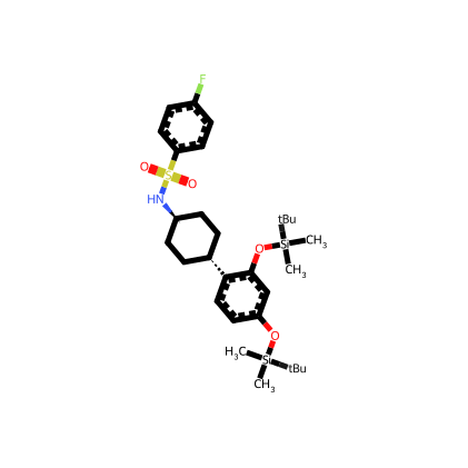 CC(C)(C)[Si](C)(C)Oc1ccc([C@H]2CC[C@H](NS(=O)(=O)c3ccc(F)cc3)CC2)c(O[Si](C)(C)C(C)(C)C)c1